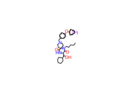 CCCCCN1C(=O)C([C@H](O)C2CCCCC2)NC(=O)C12CCN(Cc1ccc(Oc3ccc([123I])cc3)cc1)CC2